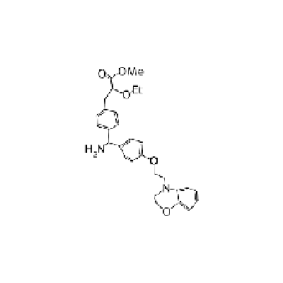 CCOC(Cc1ccc(C(N)c2ccc(OCCN3CCOc4ccccc43)cc2)cc1)C(=O)OC